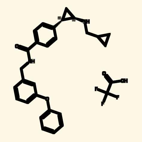 O=C(NCc1cccc(Oc2ccccc2)c1)c1ccc([C@@H]2C[C@H]2NCC2CC2)cc1.O=C(O)C(F)(F)F